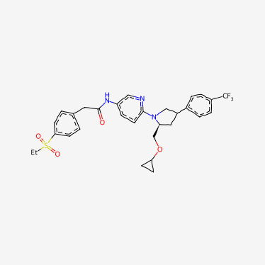 CCS(=O)(=O)c1ccc(CC(=O)Nc2ccc(N3CC(c4ccc(C(F)(F)F)cc4)C[C@H]3COC3CC3)nc2)cc1